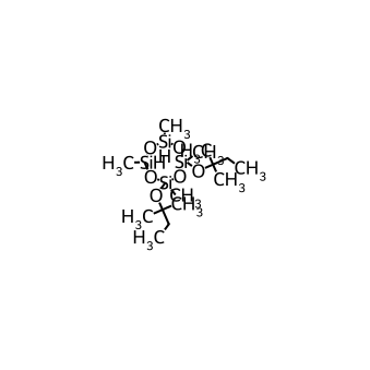 CCC(C)(C)O[Si]1(C)O[SiH](C)O[SiH](C)O[Si](C)(OC(C)(C)CC)O1